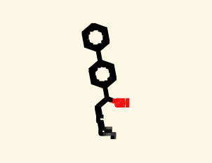 C=C=CC(O)c1ccc(-c2ccccc2)cc1